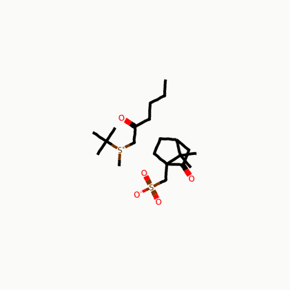 CC1(C)C2CCC1(CS(=O)(=O)[O-])C(=O)C2.CCCCC(=O)C[S+](C)C(C)(C)C